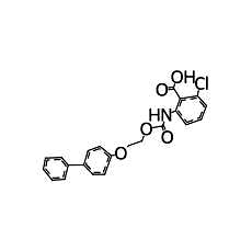 O=C(Nc1cccc(Cl)c1C(=O)O)OCCOc1ccc(-c2ccccc2)cc1